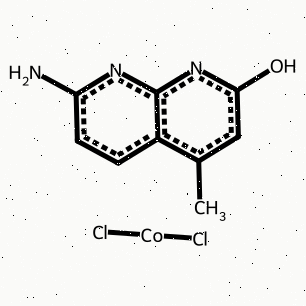 Cc1cc(O)nc2nc(N)ccc12.[Cl][Co][Cl]